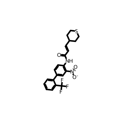 O=C(C=CC1CCSCC1)Nc1ccc(-c2ccccc2C(F)(F)F)cc1[N+](=O)[O-]